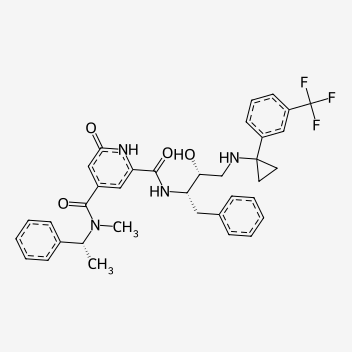 C[C@H](c1ccccc1)N(C)C(=O)c1cc(C(=O)N[C@@H](Cc2ccccc2)[C@H](O)CNC2(c3cccc(C(F)(F)F)c3)CC2)[nH]c(=O)c1